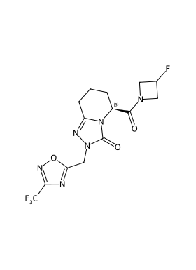 O=C([C@@H]1CCCc2nn(Cc3nc(C(F)(F)F)no3)c(=O)n21)N1CC(F)C1